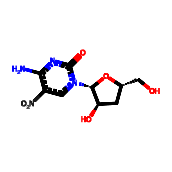 Nc1nc(=O)n([C@@H]2O[C@H](CO)C[C@H]2O)cc1[N+](=O)[O-]